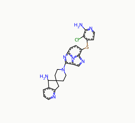 Nc1nccc(Sc2ccc3nc(N4CCC5(CC4)Cc4ncccc4C5N)c4cnc2n34)c1Cl